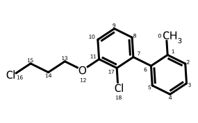 Cc1ccccc1-c1cccc(OCCCCl)c1Cl